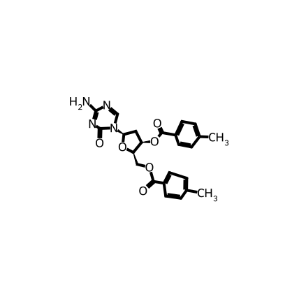 Cc1ccc(C(=O)OC[C@H]2O[C@@H](n3cnc(N)nc3=O)C[C@H]2OC(=O)c2ccc(C)cc2)cc1